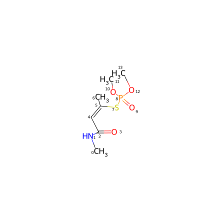 CNC(=O)C=C(C)SP(=O)(OC)OC